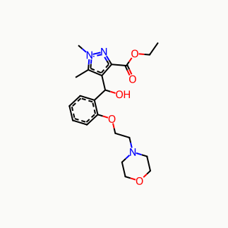 CCOC(=O)c1nn(C)c(C)c1C(O)c1ccccc1OCCN1CCOCC1